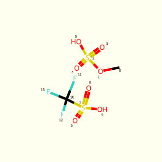 COS(=O)(=O)O.O=S(=O)(O)C(F)(F)F